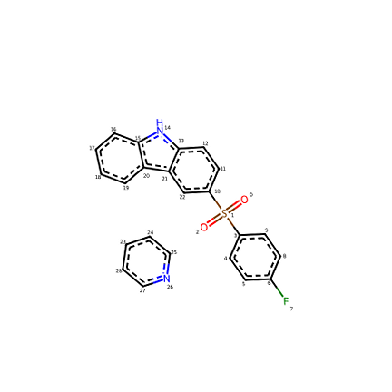 O=S(=O)(c1ccc(F)cc1)c1ccc2[nH]c3ccccc3c2c1.c1ccncc1